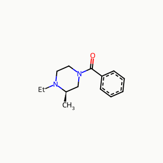 CCN1CCN(C(=O)c2ccccc2)C[C@H]1C